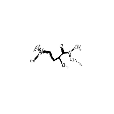 CCN(CC)CCC(C)C(=O)N(C)C